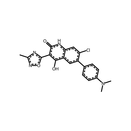 Cc1noc(-c2c(O)c3cc(-c4ccc(N(C)C)cc4)c(Cl)cc3[nH]c2=O)n1